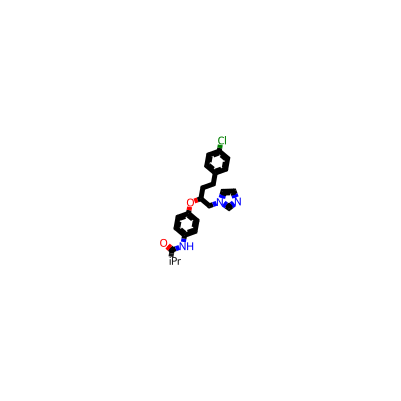 CC(C)C(=O)Nc1ccc(OC(CCc2ccc(Cl)cc2)Cn2ccnc2)cc1